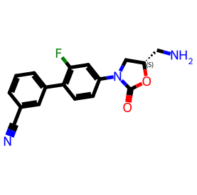 N#Cc1cccc(-c2ccc(N3C[C@H](CN)OC3=O)cc2F)c1